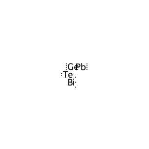 [Bi].[Ge].[Pb].[Te]